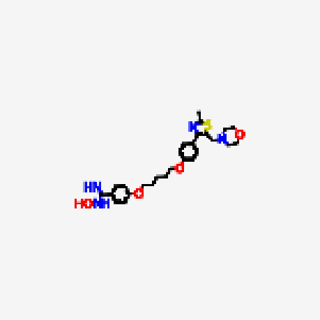 Cc1nc(-c2ccc(OCCCCCOc3ccc(C(=N)NO)cc3)cc2)c(CN2CCOCC2)s1